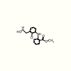 COC(=O)c1ccccc1Nc1cccc(CNO)c1Cl